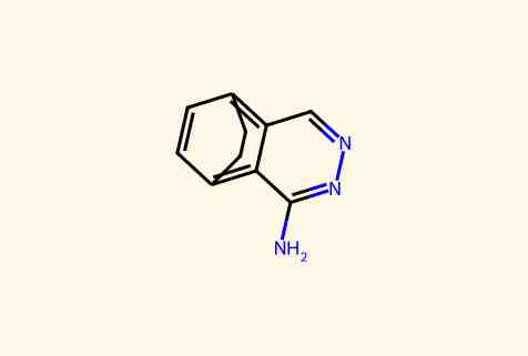 Nc1nncc2c3ccc(c12)CC3